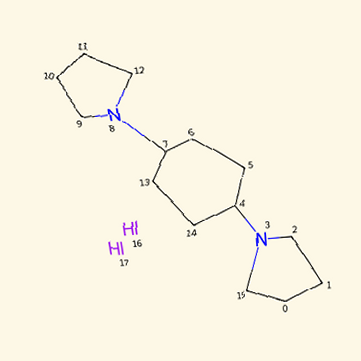 C1CCN(C2CCC(N3CCCC3)CC2)C1.I.I